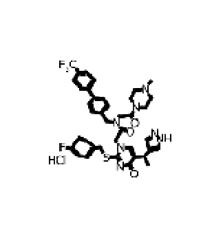 CC(c1cn[nH]c1)c1cn(CC(=O)N(CC(=O)N2CCN(C)CC2)Cc2ccc(-c3ccc(C(F)(F)F)cc3)cc2)c(SCc2ccc(F)cc2)nc1=O.Cl